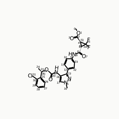 COC(=O)[C@@H]1[C@@H](C(=O)Nc2ccc(-c3nn(C)cc3NC(=O)O[C@H](C)c3ccccc3Cl)cc2)C1(F)F